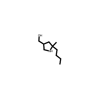 CCCCC1(C)CC(CO)CN1